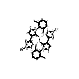 CCn1nnc(-c2cnn(-c3c(C)cccc3C)c2SSc2c(-c3nnn(CC)n3)cnn2-c2c(C)cccc2C)n1